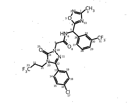 Cc1noc(C(NC(=O)Cn2nc(-c3ccc(Cl)cc3)n(CCC(F)(F)F)c2=O)c2cccc(C(F)(F)F)c2)n1